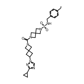 O=C(N1CC2(CC(n3cnc(C4CC4)n3)C2)C1)N1CC2(C1)CN(S(=O)(=O)NCc1ccc(F)cc1)C2